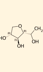 [CH2]C(O)[C@H]1OC[C@@H](O)[C@@H]1O